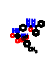 Cc1ccc(S(=O)(=O)Nc2c(NC3CCC(NC(=O)NC(c4ccccc4)c4ccccc4)CC3)c(=O)c2=O)cc1